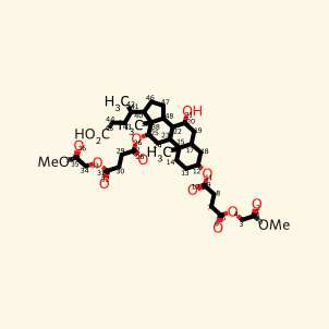 COC(=O)COC(=O)CCC(=O)OC1CCC2(C)C(C1)CC(O)C1C2CC(OC(=O)CCC(=O)OCC(=O)OC)C2(C)C(C(C)CCC(=O)O)CCC12